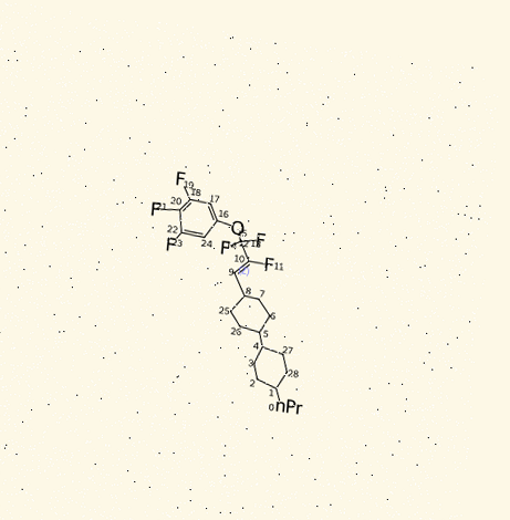 CCCC1CCC(C2CCC(/C=C(\F)C(F)(F)Oc3cc(F)c(F)c(F)c3)CC2)CC1